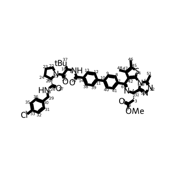 COC(=O)C[C@@H]1N=C(c2ccc(-c3ccc(C(=O)NC(C(=O)N4CCC[C@H]4C(=O)NCc4ccc(Cl)cc4)C(C)(C)C)cc3)cc2)c2c(sc(C)c2C)-n2c(C)nnc21